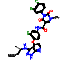 COC[C@H](C)Nc1n[nH]c2nccc(Oc3ccc(NC(=O)c4cn(C(C)C)c(=O)n(-c5ccc(F)c(F)c5)c4=O)cc3F)c12